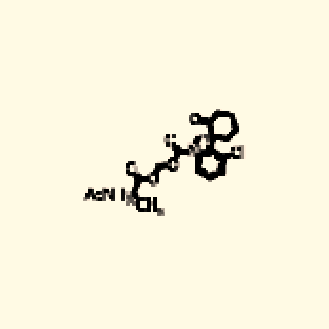 CC(=O)N[C@@H](C)C(=O)OCOC(=O)NC[C@@]1(c2ccccc2Cl)CCCCC1=O